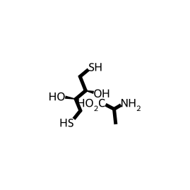 CC(N)C(=O)O.O[C@H](CS)[C@H](O)CS